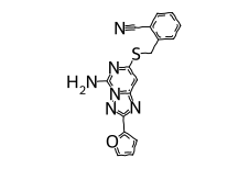 N#Cc1ccccc1CSc1cc2nc(-c3ccco3)nn2c(N)n1